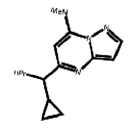 CCCC(c1cc(NC)n2nccc2n1)C1CC1